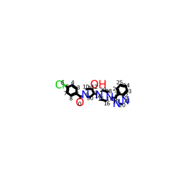 O=C(c1ccc(Cl)cc1)N1CC(O)C(N2CCN(c3ncnc4ccccc34)CC2)C1